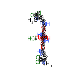 CN1Cc2c(Cl)cc(Cl)cc2[C@H](c2cccc(-c3ccc(NCCOCCOCCNC(=O)[C@H](O)[C@@H](O)C(=O)NCCOCCOCCNc4ccc(-c5cccc([C@@H]6CN(C)Cc7c(Cl)cc(Cl)cc76)c5)cn4)nc3)c2)C1.Cl